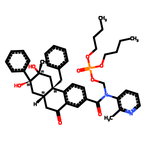 CCCCOP(=O)(OCCCC)OCN(C(=O)c1ccc2c(c1)C(=O)C[C@@H]1C[C@@](O)(c3ccccc3)[C@](C)(O)C[C@@]21Cc1ccccc1)c1cccnc1C